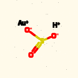 O=S([O-])[O-].[Au+].[H+]